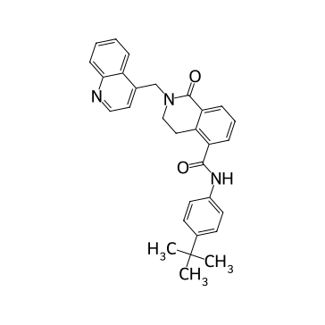 CC(C)(C)c1ccc(NC(=O)c2cccc3c2CCN(Cc2ccnc4ccccc24)C3=O)cc1